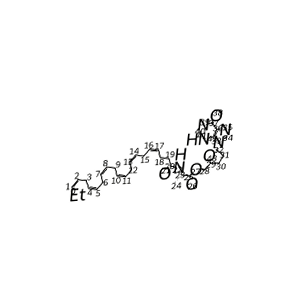 CC/C=C\C/C=C\C/C=C\C/C=C\C/C=C\C/C=C\CCC(=O)N[C@@H](C)C(=O)OC[C@@H]1CC[C@H](n2cnc3c(=O)nc[nH]c32)O1